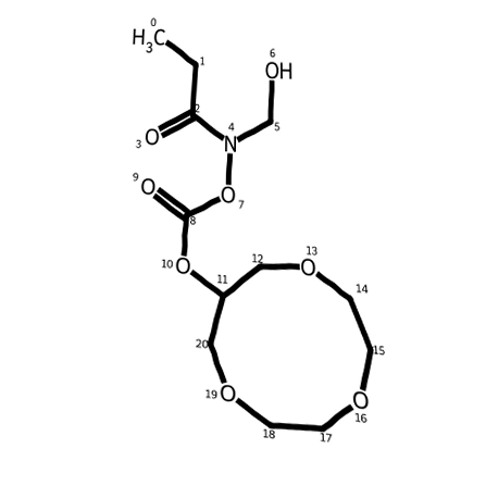 CCC(=O)N(CO)OC(=O)OC1COCCOCCOC1